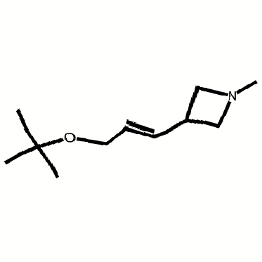 CN1CC(/C=C/COC(C)(C)C)C1